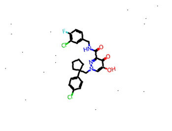 O=C(NCc1ccc(F)c(Cl)c1)c1nn(CC2(c3ccc(Cl)cc3)CCCC2)cc(O)c1=O